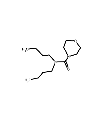 CCCCN(CCCC)C(=O)N1CCOCC1